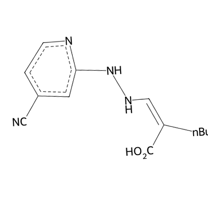 CCCCC(=CNNc1cc(C#N)ccn1)C(=O)O